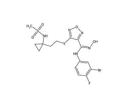 CS(=O)(=O)NC1(CCSc2nonc2C(=NO)Nc2ccc(F)c(Br)c2)CC1